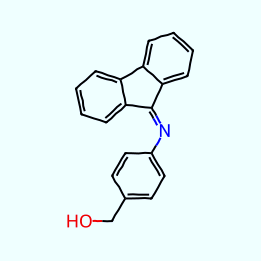 OCc1ccc(N=C2c3ccccc3-c3ccccc32)cc1